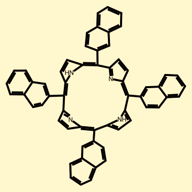 C1=Cc2nc1c(-c1ccc3ccccc3c1)c1ccc([nH]1)c(-c1ccc3ccccc3c1)c1nc(c(-c3ccc4ccccc4c3)c3ccc([nH]3)c2-c2ccc3ccccc3c2)C=C1